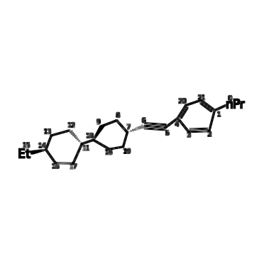 CCCc1ccc(C#C[C@H]2CC[C@H]([C@H]3CC[C@H](CC)CC3)CC2)cc1